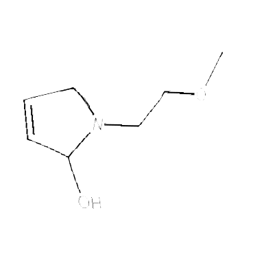 COCCN1CC=CC1O